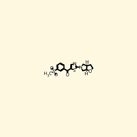 CS(=O)(=O)c1cccc(C(=O)c2cnc(N3C[C@H]4CCO[C@H]4C3)s2)c1